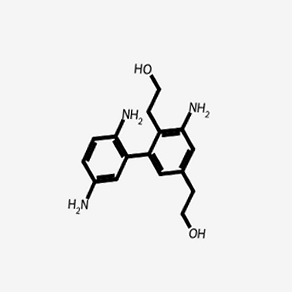 Nc1ccc(N)c(-c2cc(CCO)cc(N)c2CCO)c1